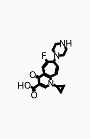 O=C(O)c1cn(C2CC2)c2c(c1=O)C=C(F)C(N1CCNCC1)C=C2